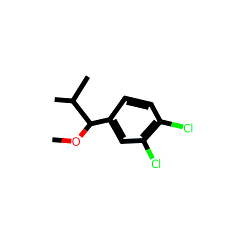 COC(c1ccc(Cl)c(Cl)c1)C(C)C